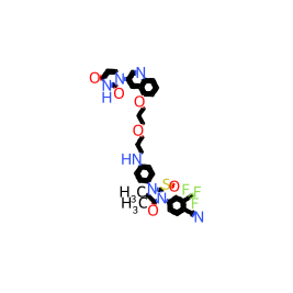 CC1(C)C(=O)N(c2ccc(C#N)c(C(F)(F)F)c2)C(=S=O)N1c1ccc(NCCCOCCCOc2cccc3ncc(-n4ccc(=O)[nH]c4=O)cc23)cc1